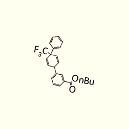 CCCCOC(=O)c1cccc(C2C=CC(c3ccccc3)(C(F)(F)F)C=C2)c1